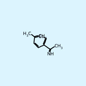 C=C(C)/C=C\C(=C/CC)C(C)=N